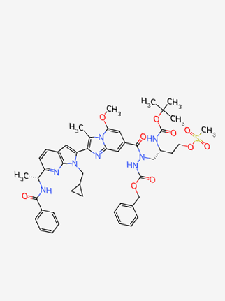 COc1cc(C(=O)N(C[C@@H](CCOS(C)(=O)=O)NC(=O)OC(C)(C)C)NC(=O)OCc2ccccc2)cc2nc(-c3cc4ccc([C@@H](C)NC(=O)c5ccccc5)nc4n3CC3CC3)c(C)n12